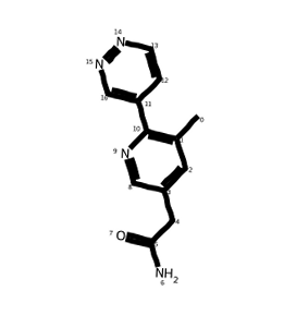 Cc1cc(CC(N)=O)cnc1-c1ccnnc1